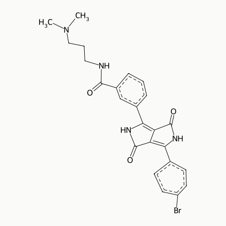 CN(C)CCCNC(=O)c1cccc(C2=C3C(=O)NC(c4ccc(Br)cc4)=C3C(=O)N2)c1